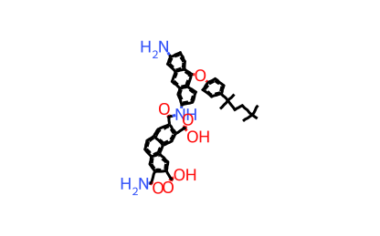 CC(C)(C)CCC(C)(C)c1ccc(Oc2c3ccc(N)cc3cc3cc(NC(=O)c4cc5ccc6cc(C(N)=O)c(C(=O)O)cc6c5cc4C(=O)O)ccc23)cc1